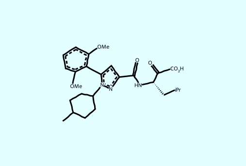 COc1cccc(OC)c1-c1cc(C(=O)N[C@@H](CC(C)C)C(=O)C(=O)O)nn1C1CCC(C)CC1